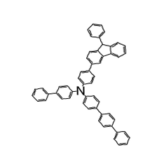 c1ccc(-c2ccc(-c3ccc(N(c4ccc(-c5ccccc5)cc4)c4ccc(-c5ccc6c(c5)-c5ccccc5C6c5ccccc5)cc4)cc3)cc2)cc1